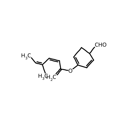 C=C(/C=C\C(C)=C/C)OC1=CCC(C=O)C=C1